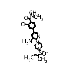 CCC(C)[S+]([O-])N1CCN(c2ncc(-c3ccc(C(=O)N(C)C)c(Cl)c3)cc2N)CC1